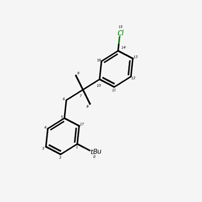 CC(C)(C)c1cccc(CC(C)(C)c2cccc(Cl)c2)c1